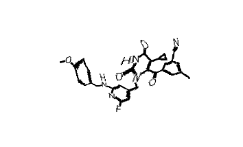 COc1ccc(CNc2cc(Cn3c(C(=O)c4cc(C)cc(C#N)c4)c(C4CC4)c(=O)[nH]c3=O)cc(F)n2)cc1